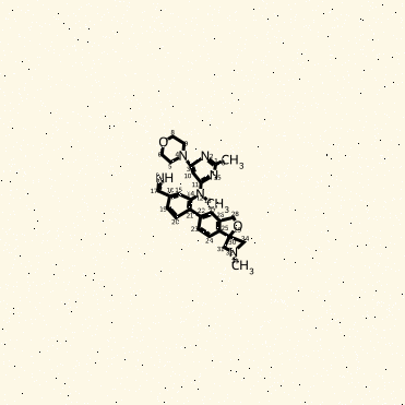 Cc1nc(N2CCOCC2)cc(N(C)c2cc(C=N)ccc2-c2ccc3c(c2)COC32CN(C)C2)n1